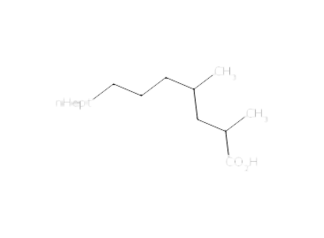 CCCCCCCCCCC(C)CC(C)C(=O)O